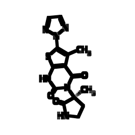 Cc1c(-n2nccn2)sc2[nH]c(=O)n([C@@]3(C)CCNC3=O)c(=O)c12